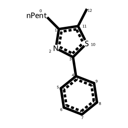 CCCCCc1nc(-c2ccccc2)sc1C